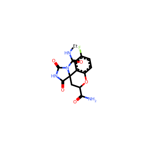 CCNC(=O)N1C(=O)NC(=O)C12CC(C(N)=O)Oc1ccc(F)cc12